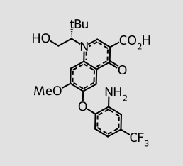 COc1cc2c(cc1Oc1ccc(C(F)(F)F)cc1N)c(=O)c(C(=O)O)cn2[C@H](CO)C(C)(C)C